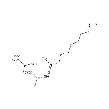 CC(O)C(=O)[O-].CC(O)C(=O)[O-].CCCCCCCCCCCCCCCCC[C](=O)[Ca+].[Na+]